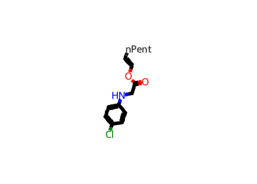 CCCCCC=COC(=O)CNc1ccc(Cl)cc1